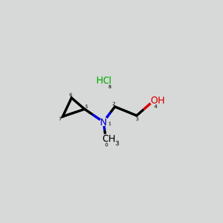 CN(CCO)C1CC1.Cl